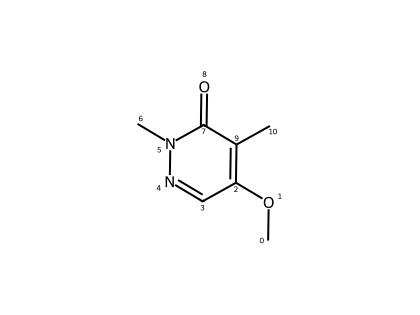 COc1cnn(C)c(=O)c1C